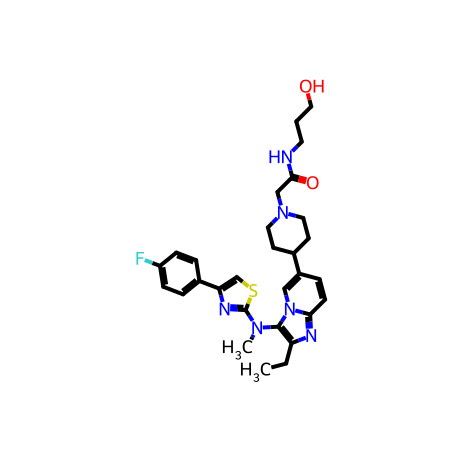 CCc1nc2ccc(C3CCN(CC(=O)NCCCO)CC3)cn2c1N(C)c1nc(-c2ccc(F)cc2)cs1